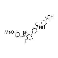 COc1ccc(Cn2ncc3c(-c4ccc(C(=O)N[C@H]5CC[C@H](C(C)(C)O)CC5)cc4)ncc(F)c32)cc1